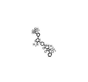 Cc1c(C(=O)NC2CCN(c3nc(-c4cccc(NS(C)(=O)=O)c4)cnc3N)CC2)c(=O)n(-c2ccccc2Cl)n1C